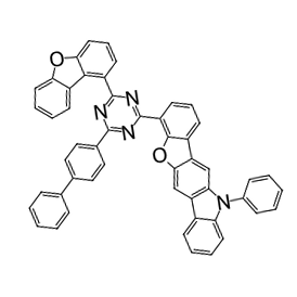 c1ccc(-c2ccc(-c3nc(-c4cccc5c4oc4cc6c7ccccc7n(-c7ccccc7)c6cc45)nc(-c4cccc5oc6ccccc6c45)n3)cc2)cc1